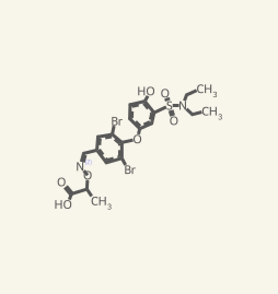 CCN(CC)S(=O)(=O)c1cc(Oc2c(Br)cc(/C=N\OC(C)C(=O)O)cc2Br)ccc1O